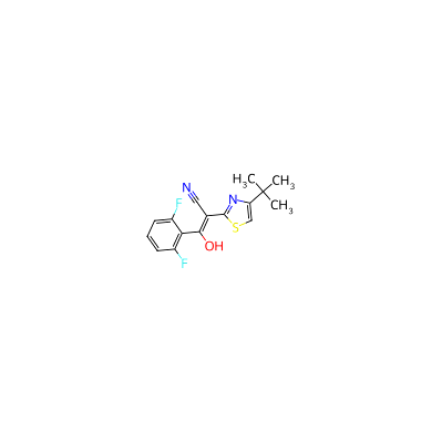 CC(C)(C)c1csc(C(C#N)=C(O)c2c(F)cccc2F)n1